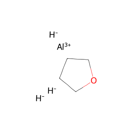 C1CCOC1.[Al+3].[H-].[H-].[H-]